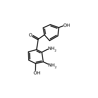 Nc1c(O)ccc(C(=O)c2ccc(O)cc2)c1N